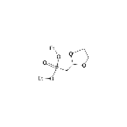 CCOP(=O)(CC1OCCO1)OCC